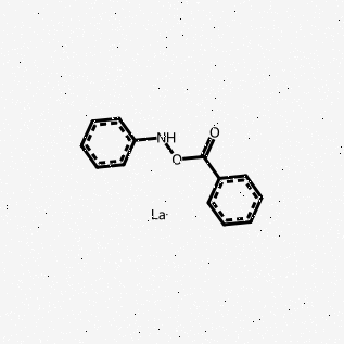 O=C(ONc1ccccc1)c1ccccc1.[La]